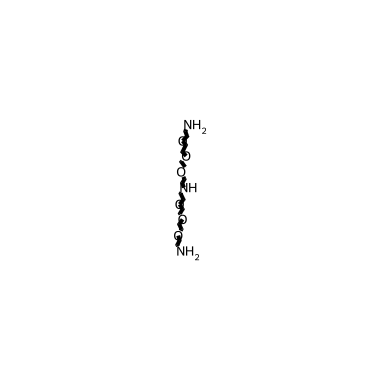 NCCOCCOCCOCCNCCOCCOCCOCCN